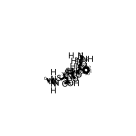 CCN1NN=C(SCC2=C(C(=O)O)N3C(=O)C(NC(=O)C(NC(=O)NC(=N)N)c4ccccc4)[C@@H]3SC2)N1